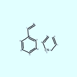 C=CC.C=CC#N.C=Cc1ccccc1